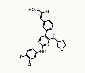 CC/C(=C\c1cccc(-c2cnc(Nc3ccc(F)c(Cl)c3)nc2NC2CCOC2)c1)C(=O)O